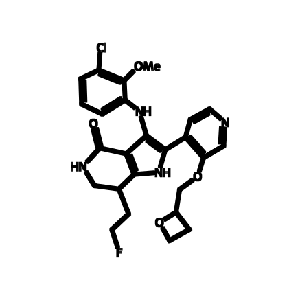 COc1c(Cl)cccc1Nc1c(-c2ccncc2OCC2CCO2)[nH]c2c1C(=O)NCC2CCF